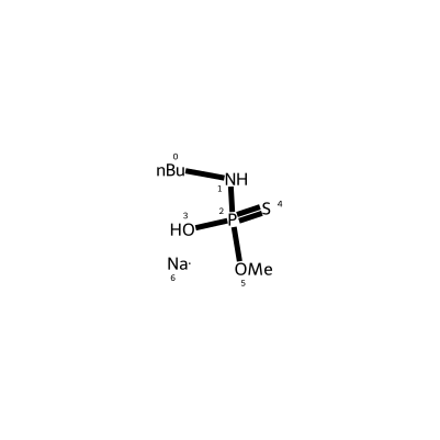 CCCCNP(O)(=S)OC.[Na]